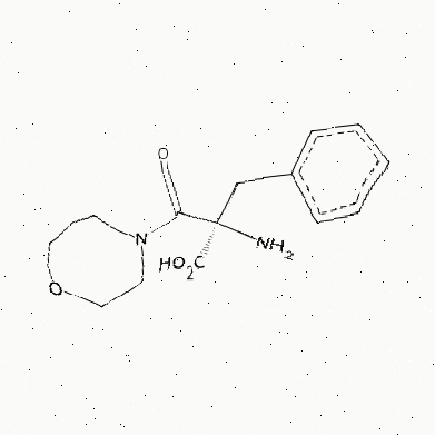 N[C@@](Cc1ccccc1)(C(=O)O)C(=O)N1CCOCC1